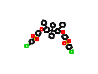 O=S(=O)(c1ccc(Cl)cc1)c1ccc(Oc2ccc(C(c3ccccc3)(c3ccccc3)c3ccc(Oc4ccc(S(=O)(=O)c5ccc(Cl)cc5)cc4)c(-c4ccccc4)c3)cc2-c2ccccc2)cc1